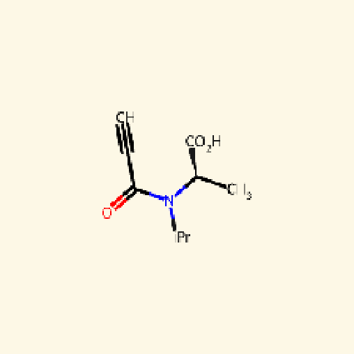 C#CC(=O)N(C(C)C)[C@H](C)C(=O)O